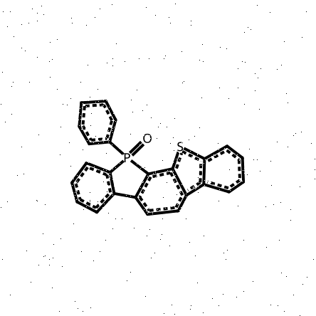 O=P1(c2ccccc2)c2ccccc2-c2ccc3c(sc4ccccc43)c21